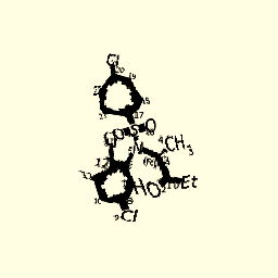 CCC(O)[C@@H](C)N(c1cc(Cl)ccc1Cl)S(=O)(=O)c1ccc(Cl)cc1